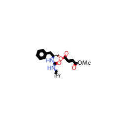 COC(=O)/C=C/C(=O)OC[C@@H](Cc1ccccc1)NC(=O)NCC(C)C